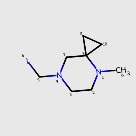 CN1CCN(CI)CC12CC2